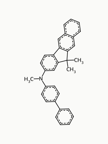 CN(c1ccc(-c2ccccc2)cc1)c1ccc2c(c1)C(C)(C)c1cc3ccccc3cc1-2